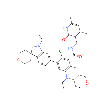 CCN1CC2(CCOCC2)c2ccc(-c3cc(N(CC)C4CCOCC4)c(C)c(C(=O)NCc4c(C)cc(C)[nH]c4=O)c3Cl)cc21